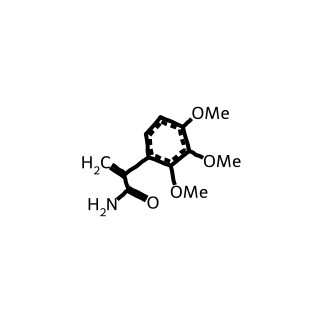 C=C(C(N)=O)c1ccc(OC)c(OC)c1OC